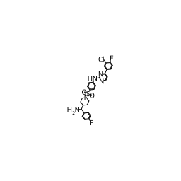 N[C@H](c1ccc(F)cc1)C1CCN(S(=O)(=O)c2ccc(Nc3nccc(-c4ccc(F)c(Cl)c4)n3)cc2)CC1